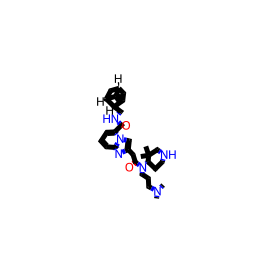 CN(C)CCCN(C(=O)Cc1cn2c(C(=O)NC[C@@H]3CC[C@@H]4C[C@@H]3C4(C)C)cccc2n1)C1CCNCC1(C)C